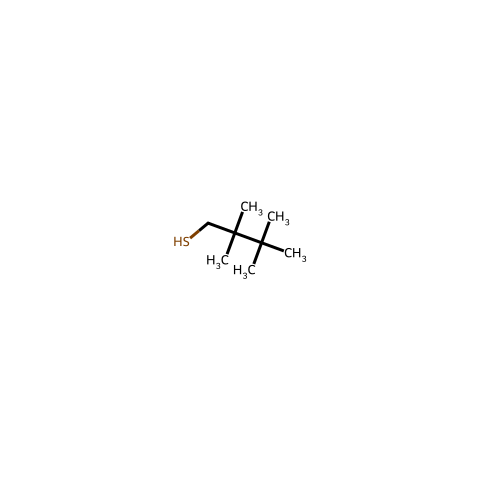 CC(C)(C)C(C)(C)CS